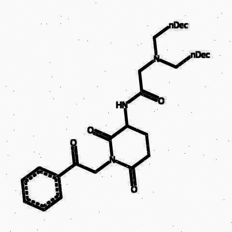 CCCCCCCCCCCN(CCCCCCCCCCC)CC(=O)NC1CCC(=O)N(CC(=O)c2ccccc2)C1=O